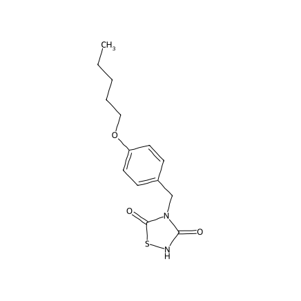 CCCCCOc1ccc(Cn2c(=O)[nH]sc2=O)cc1